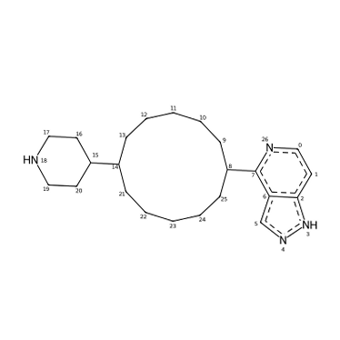 c1cc2[nH]ncc2c(C2CCCCCC(C3CCNCC3)CCCCC2)n1